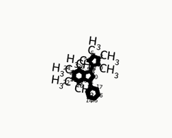 CC1=C(C)C(C)=C(C)[C]1C1C=C(c2ccccc2)c2c(C)c(C)c(C)c(C)c21